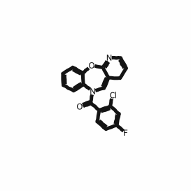 O=C(c1ccc(F)cc1Cl)N1C=C2CC=CN=C2Oc2ccccc21